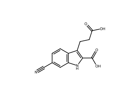 N#Cc1ccc2c(CCC(=O)O)c(C(=O)O)[nH]c2c1